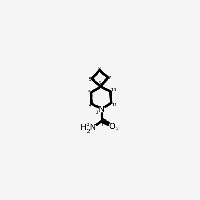 NC(=O)N1CCC2(CCC2)CC1